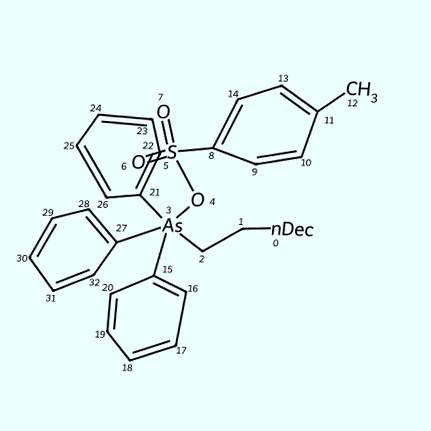 CCCCCCCCCCCC[As](OS(=O)(=O)c1ccc(C)cc1)(c1ccccc1)(c1ccccc1)c1ccccc1